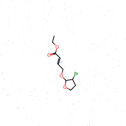 CCOC(=O)/C=C/COC1OCCC1Br